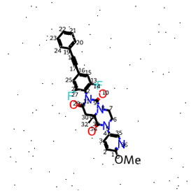 COc1ccc(N2CCN3C(=O)N(c4c(F)cc(C#Cc5ccccc5)cc4F)C(=O)C[C@@]3(C)C2=O)cn1